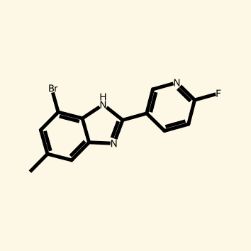 Cc1cc(Br)c2[nH]c(-c3ccc(F)nc3)nc2c1